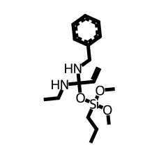 C=CC(NCC)(NCc1ccccc1)O[Si](CCC)(OC)OC